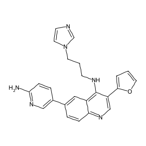 Nc1ccc(-c2ccc3ncc(-c4ccco4)c(NCCCn4ccnc4)c3c2)cn1